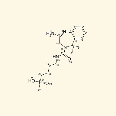 CC1(C)c2ccccc2N=C(N)CN1C(=O)NCCCCP(C)(=O)O